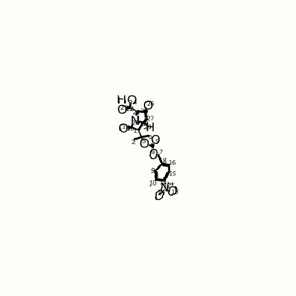 CC(C)(OC(=O)OCc1ccc([N+](=O)[O-])cc1)[C@H]1C(=O)N2[C@@H](C(=O)O)C(=O)C[C@H]12